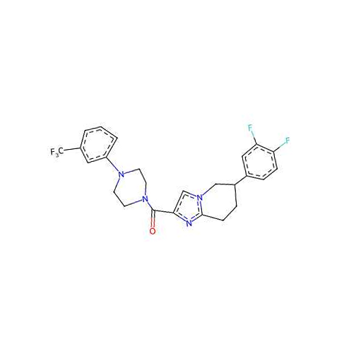 O=C(c1cn2c(n1)CCC(c1ccc(F)c(F)c1)C2)N1CCN(c2cccc(C(F)(F)F)c2)CC1